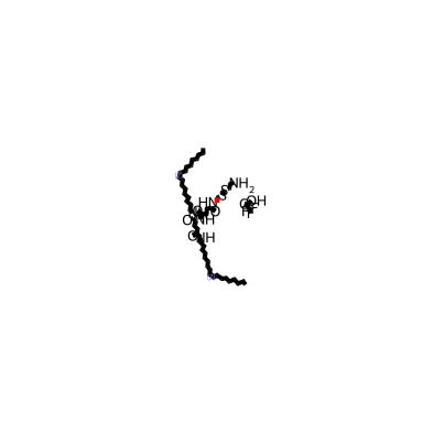 CCCCCCCC/C=C\CCCCCCCCNC(=O)CCC(NC(=O)CCC(=O)NCCSSCCN)C(=O)NCCCCCCCC/C=C\CCCCCCCC.O=C(O)C(F)(F)F